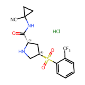 Cl.N#CC1(NC(=O)[C@@H]2C[C@@H](S(=O)(=O)c3ccccc3C(F)(F)F)CN2)CC1